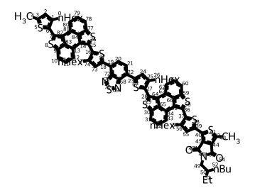 CCCCCCc1cc(C)sc1-c1sc2cccc3c4c(-c5sc(-c6ccc(-c7cc(CCCCCC)c(-c8sc9cccc%10c%11c(-c%12sc(-c%13sc(C)c%14c%13C(=O)N(CC(CC)CCCC)C%14=O)cc%12CCCCCC)sc%12cccc(c8c9%10)c%12%11)s7)c7nsnc67)cc5CCCCCC)sc5cccc(c1c23)c54